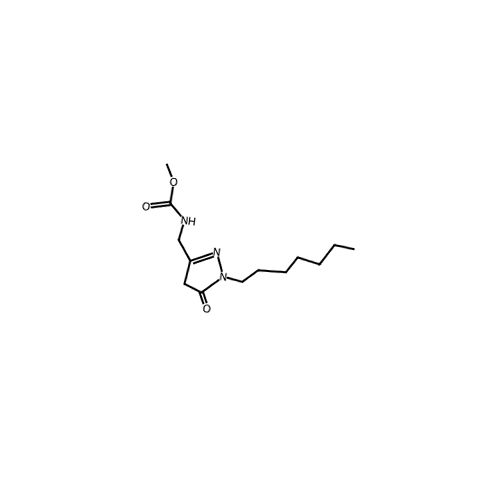 CCCCCCCN1N=C(CNC(=O)OC)CC1=O